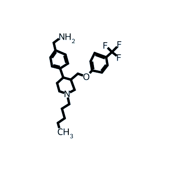 CCCCCN1CCC(c2ccc(CN)cc2)C(COc2ccc(C(F)(F)F)cc2)C1